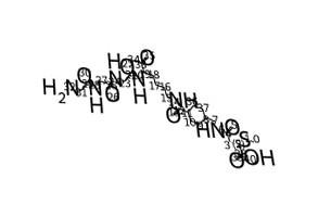 CS[C@@H](CC(=O)NCC1CCC(C(=O)NCCCCC(NC(=O)CNC(=O)CNC(=O)CN)C(C)=O)CC1)C(=O)O